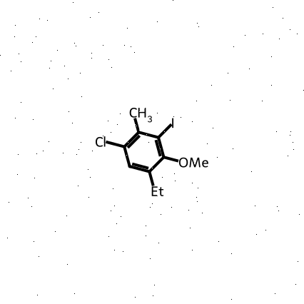 [CH2]Cc1cc(Cl)c(C)c(I)c1OC